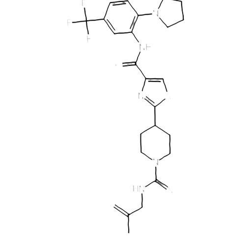 C=C(C)CNC(=S)N1CCC(c2nc(C(=O)Nc3cc(C(F)(F)F)ccc3N3CCCC3)cs2)CC1